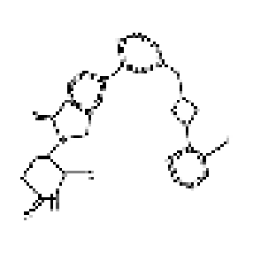 O=C1CCC(N2Cc3cc(-c4cc(CN5CC(c6ccccc6F)C5)ccn4)ccc3C2=O)C(=O)N1